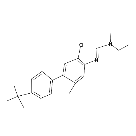 CCN(C)/C=N/c1cc(C)c(-c2ccc(C(C)(C)C)cc2)cc1Cl